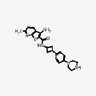 Cc1ccc2c(N)c(C(=O)NC3CC(c4ccc(N5CCNCC5)cc4)C3)sc2n1